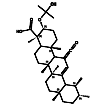 C[C@@H]1CC[C@]2(C)CC[C@]3(C)C(=CC(=C=O)C4[C@@]5(C)CC[C@@H](OC(C)(C)O)[C@](C)(C(=O)O)C5CC[C@]43C)C2[C@H]1C